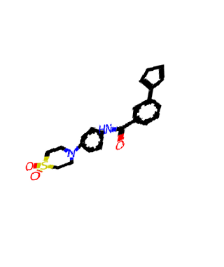 O=C(Nc1ccc(N2CCS(=O)(=O)CC2)cc1)c1cccc(C2=CCC=C2)c1